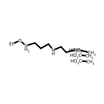 CC(=O)O.CC(=O)O.CC(=O)O.CCO[SiH2]CCCNCCN